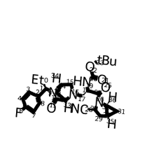 CC[C@H](c1ccc(F)cc1)N1C(=O)[C@@H]2C[C@H]1CN2C[C@H](NC(=O)OC(C)(C)C)C(=O)N1[C@H](C#N)C[C@@H]2C[C@@H]21